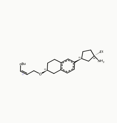 CCCC/C=C\CO[C@H]1CCc2cc([C@H]3CC[C@](N)(CC)C3)ccc2C1